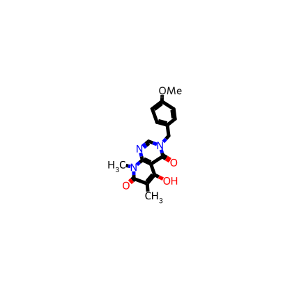 COc1ccc(Cn2cnc3c(c(O)c(C)c(=O)n3C)c2=O)cc1